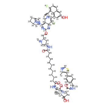 C#Cc1c(F)ccc2cc(O)cc(-c3ncc4c(N5CC6CCC(C5)N6)nc(OCC5C[C@@H](NC(=O)CCCCCCCCCCC(=O)N[C@H](C(=O)N6C[C@H](O)C[C@H]6C(=O)N[C@@H](C)c6ccc(-c7scnc7C)cc6)C(C)(C)C)CN5C)nc4c3F)c12